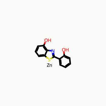 Oc1ccccc1-c1nc2c(O)cccc2s1.[Zn]